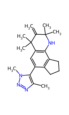 C=C1C(C)(C)Nc2c(cc(-c3c(C)nnn3C)c3c2CCC3)C1(C)C